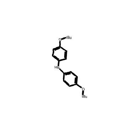 CC(C)(C)Oc1ccc(Nc2ccc(OC(C)(C)C)cc2)cc1